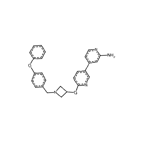 Nc1cc(-c2ccc(OC3CN(Cc4ccc(Oc5ccccc5)cc4)C3)nc2)ccn1